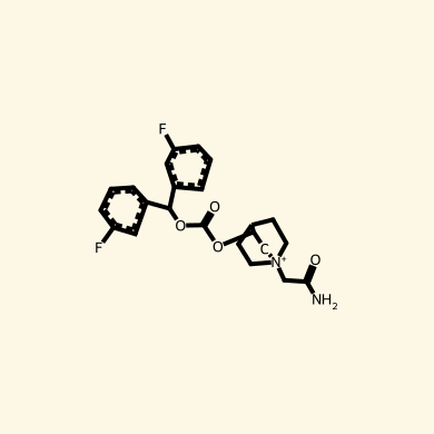 NC(=O)C[N+]12CCC(CC1)C(OC(=O)OC(c1cccc(F)c1)c1cccc(F)c1)C2